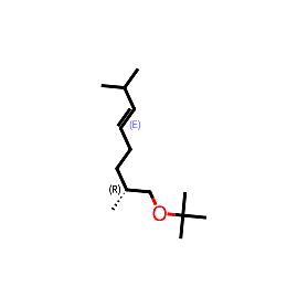 CC(C)/C=C/CC[C@@H](C)COC(C)(C)C